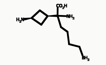 BCCCCC(N)(C(=O)O)[C@H]1C[C@@H](N)C1